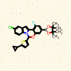 CC1(C)OB(c2cc(F)c3c(c2)OC(c2ccc(C4CC4)s2)n2c-3cc3cc(Cl)ccc32)OC1(C)C